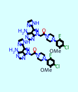 COc1cc(N2CCN(C(=O)Cn3nc(-c4ncc[nH]4)c4c(N)ncnc43)CC2)c(F)cc1Cl.COc1cc(N2CCN(C(=O)Cn3nc(-c4ncc[nH]4)c4c(N)ncnc43)CC2)c(F)cc1Cl